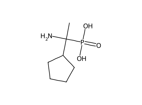 CC(N)(C1CCCC1)P(=O)(O)O